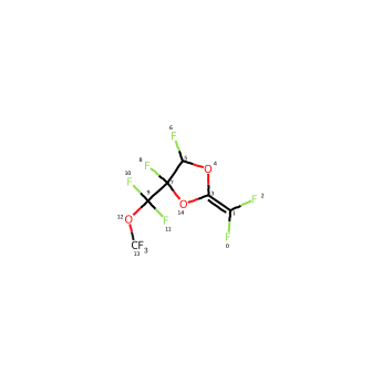 FC(F)=C1OC(F)C(F)(C(F)(F)OC(F)(F)F)O1